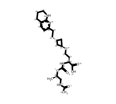 CC(=O)NC[C@@H](C)OC(=O)N[C@@H](CCO[C@H]1C[C@H](CCc2ccc3c(n2)NCCC3)C1)C(=O)O